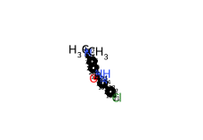 CN(C)Cc1ccc2cc(NC(=O)c3ccc(-c4ccc(Cl)cc4)cn3)ccc2c1